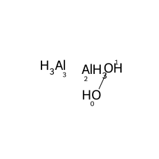 OO.[AlH3].[AlH3]